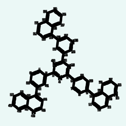 c1cc(-c2nc(-c3ccc(-c4cccc5ncccc45)cc3)nc(-c3cncc(-c4cccc5ccccc45)c3)n2)cc(-c2ccnc3ccccc23)c1